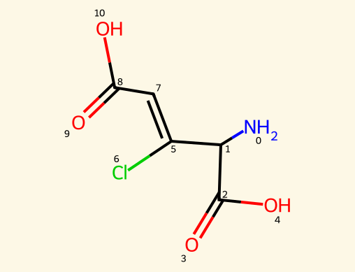 NC(C(=O)O)C(Cl)=CC(=O)O